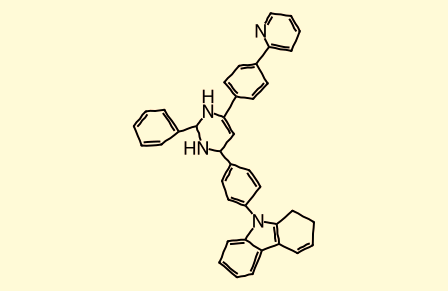 C1=Cc2c(n(-c3ccc(C4C=C(c5ccc(-c6ccccn6)cc5)NC(c5ccccc5)N4)cc3)c3ccccc23)CC1